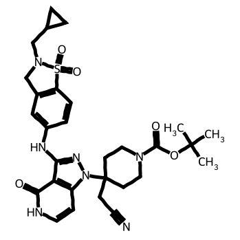 CC(C)(C)OC(=O)N1CCC(CC#N)(n2nc(Nc3ccc4c(c3)CN(CC3CC3)S4(=O)=O)c3c(=O)[nH]ccc32)CC1